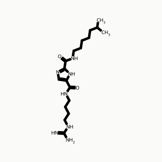 CC(C)CCCCCNC(=O)c1ncc(C(=O)NCCCCNC(=N)N)[nH]1